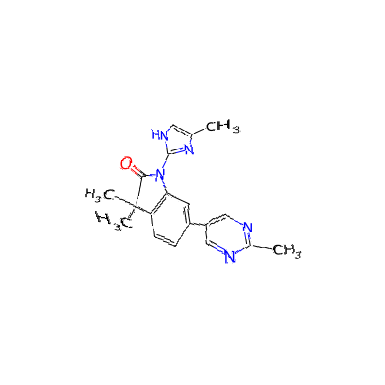 Cc1c[nH]c(N2C(=O)C(C)(C)c3ccc(-c4cnc(C)nc4)cc32)n1